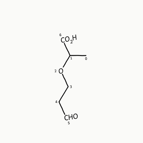 CC(OCCC=O)C(=O)O